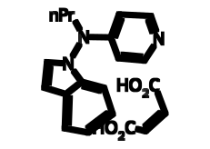 CCCN(c1ccncc1)n1ccc2ccccc21.O=C(O)/C=C\C(=O)O